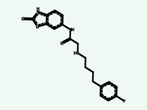 O=C(CNCCCCc1ccc(F)cc1)Nc1ccc2[nH]c(=O)oc2c1